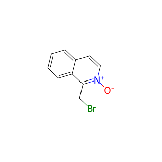 [O-][n+]1ccc2ccccc2c1CBr